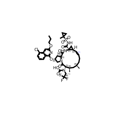 CCCOc1cc2c(Cl)cccc2c(O[C@@H]2C[C@H]3C(=O)N[C@]4(C(=O)NS(=O)(=O)C5(C)CC5)C[C@H]4/C=C\CC[C@@H](C)C[C@@H](C)[C@H](N(C(=O)O)[C@H](C)C(F)(F)F)C(=O)N3C2)n1